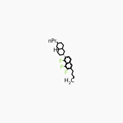 C=CCCc1cc2ccc([C@@H]3CC[C@@H]4CC(CCC)CCC4C3)c(F)c2c(F)c1F